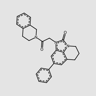 O=C(Cn1c(=O)n2c3c(cc(-c4ccccc4)cc31)CCC2)N1CCc2ccccc2C1